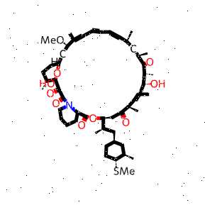 CO[C@H]1C[C@@H]2CC[C@@H](C)[C@@](O)(O2)C(=O)C(=O)N2CCCCC2C(=O)O[C@H]([C@H](C)C[C@@H]2CC[C@@H](SC)[C@H](C)C2)CC(=O)[C@H](C)/C=C(\C)[C@@H](O)[C@@H](C)C(=O)[C@H](C)C[C@H](C)/C=C/C=C/C=C/1C